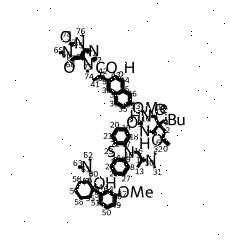 C=CCC1(C(C)CC)C(=O)NC(=O)NC1=O.CC(CN1c2ccccc2Sc2ccccc21)N(C)C.COc1ccc2cc([C@H](C)C(=O)O)ccc2c1.COc1cccc([C@@]2(O)CCCC[C@@H]2CN(C)C)c1.Cn1c(=O)c2c(ncn2C)n(C)c1=O